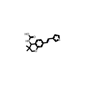 CC1(C)COc2cc(/C=C/c3ccsc3)ccc2C1NC(=O)O